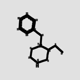 CCC1CNCCN1Cc1ccccc1